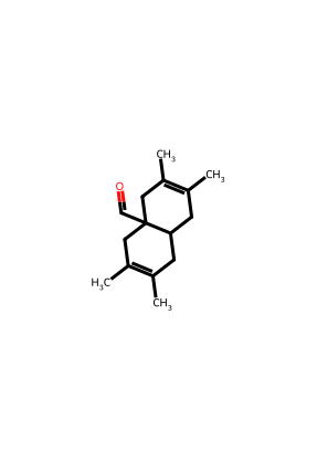 CC1=C(C)CC2(C=O)CC(C)=C(C)CC2C1